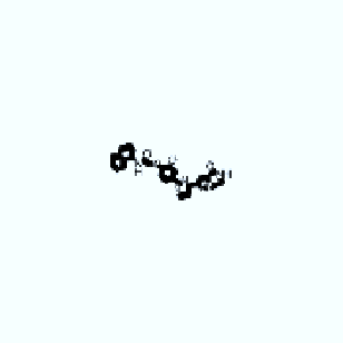 COc1cc(-c2nccc(-c3cc4n(n3)CCNC4=O)n2)ccc1OCC(=O)Nc1cccc2ccccc12